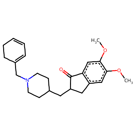 COc1cc2c(cc1OC)C(=O)C(CC1CCN(CC3=CC=CCC3)CC1)C2